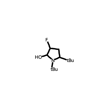 CC(C)(C)C1CC(F)C(O)N1C(C)(C)C